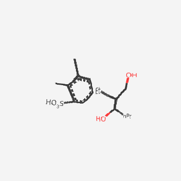 CCCC(O)C(CC)CO.Cc1cccc(S(=O)(=O)O)c1C